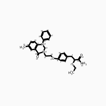 CCSC(Cc1ccc(OCCN2CN(c3ccccc3)c3ccc(C)cc3C2=O)cc1)C(N)=O